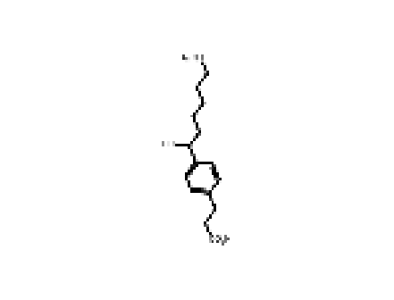 CC(=O)NCCCCCC(O)c1ccc(CCC(=O)O)cc1